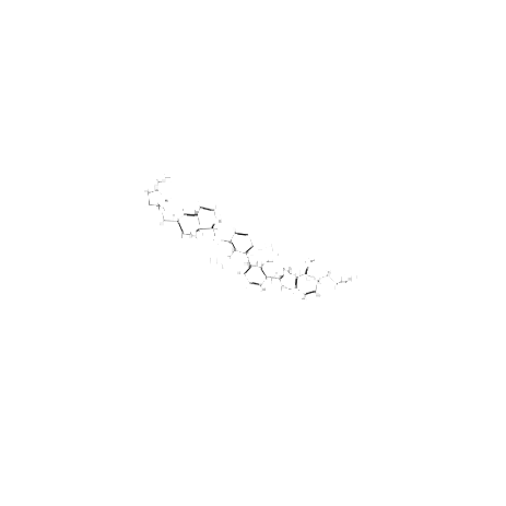 Cc1c(Oc2nccc3cc(CN4CC[C@@H](O)C4)cnc23)cccc1-c1cccc(-c2nc3c(=O)n(CCO)ccc3o2)c1C